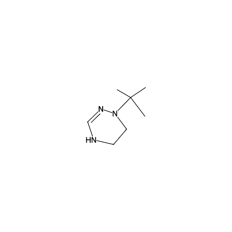 CC(C)(C)N1CCNC=N1